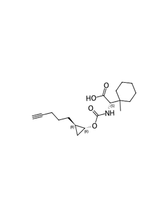 C#CCCC[C@@H]1C[C@H]1OC(=O)N[C@H](C(=O)O)C1(C)CCCCC1